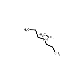 CCCNCCC.[CH2]C